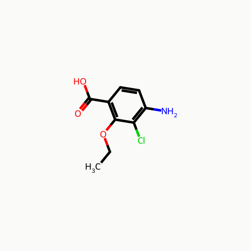 CCOc1c(C(=O)O)ccc(N)c1Cl